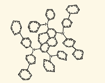 c1ccc(-c2ccc(N(c3ccc(-c4ccccc4)cc3)c3cc(N(c4ccccc4)c4ccccc4)c4ccc5c(N(c6ccc(-c7ccccc7)cc6)c6ccc(-c7ccccc7)cc6)cc(N(c6ccccc6)c6ccccc6)c6ccc3c4c65)cc2)cc1